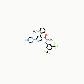 Cc1ccccc1-c1cc(N2CCNCC2)ncc1C(=O)N(C)Cc1cc(C(F)(F)F)cc(C(F)(F)F)c1